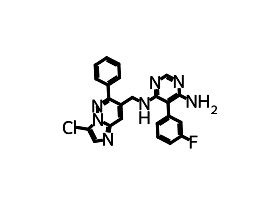 Nc1ncnc(NCc2cc3ncc(Cl)n3nc2-c2ccccc2)c1-c1cccc(F)c1